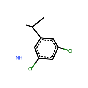 CC(C)c1cc(Cl)cc(Cl)c1.N